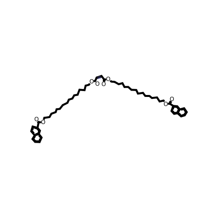 O=C(/C=C\C(=O)OCCCCCCCCCCCCCCCCOC(=O)c1ccc2ccccc2c1)OCCCCCCCCCCCCCCCCOC(=O)c1ccc2ccccc2c1